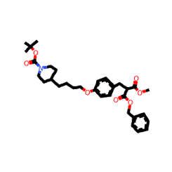 COC(=O)C(Cc1ccc(OCCCCC2CCN(C(=O)OC(C)(C)C)CC2)cc1)C(=O)OCc1ccccc1